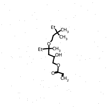 C=CC(=O)OCC(O)CC(C)(CC)OCCC(C)(C)CC